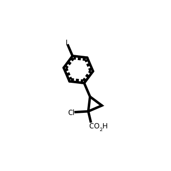 O=C(O)C1(Cl)CC1c1ccc(I)cc1